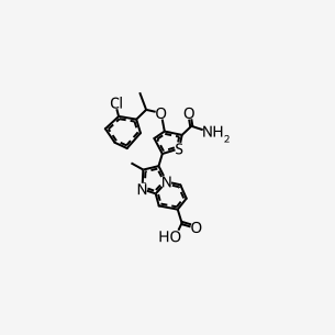 Cc1nc2cc(C(=O)O)ccn2c1-c1cc(OC(C)c2ccccc2Cl)c(C(N)=O)s1